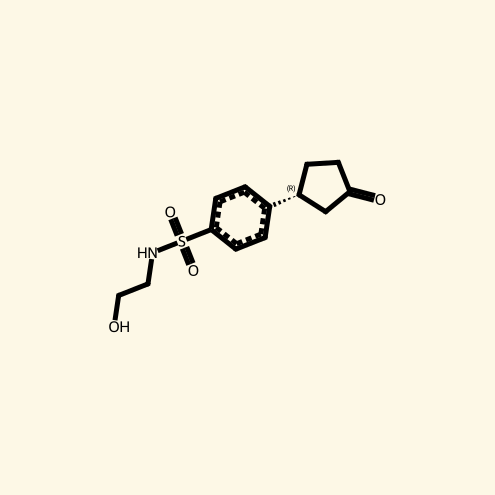 O=C1CC[C@@H](c2ccc(S(=O)(=O)NCCO)cc2)C1